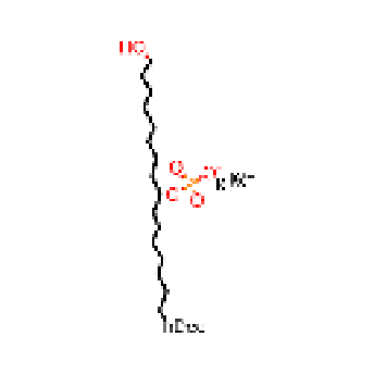 CCCCCCCCCCCCCCCCCCCCCCCCCCO.O=P([O-])([O-])[O-].[K+].[K+].[K+]